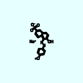 COc1ccc(N=Nc2c(O)ccc3cc(S(=O)(=O)[O-])ccc23)cc1.[Na+]